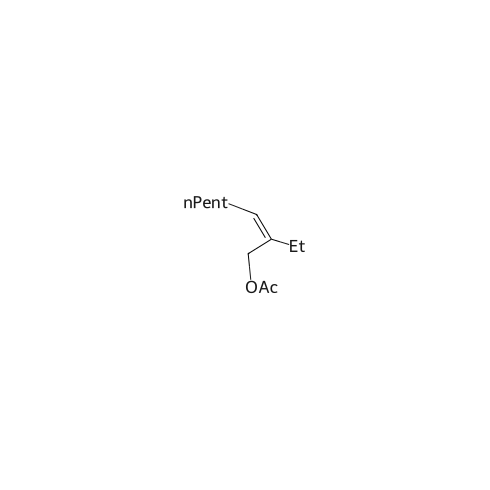 CCCCCC=C(CC)COC(C)=O